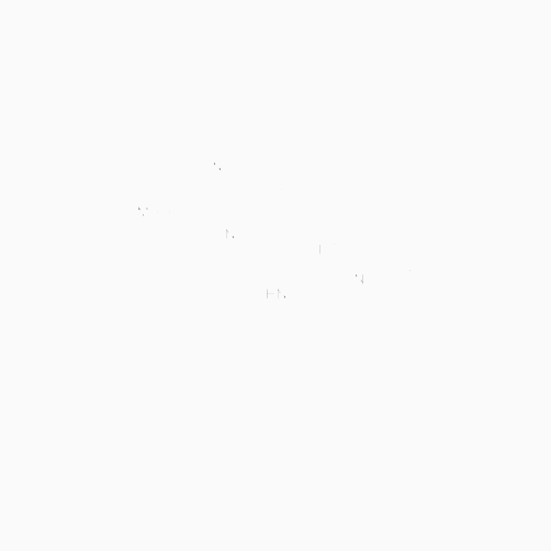 COc1nccc(CNC2CCCCC2N(C)C(C)C)n1